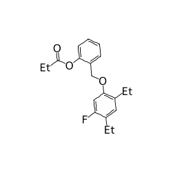 CCC(=O)Oc1ccccc1COc1cc(F)c(CC)cc1CC